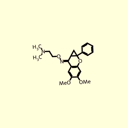 COc1cc2c(cc1OC)C(=NOCCN(C)C)C1CC1(c1ccccc1)O2